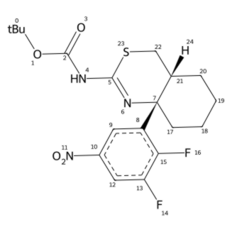 CC(C)(C)OC(=O)NC1=N[C@@]2(c3cc([N+](=O)[O-])cc(F)c3F)CCCC[C@H]2CS1